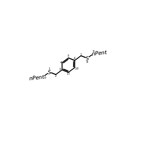 CCCCCSCc1ccc(CSCCCCC)cc1